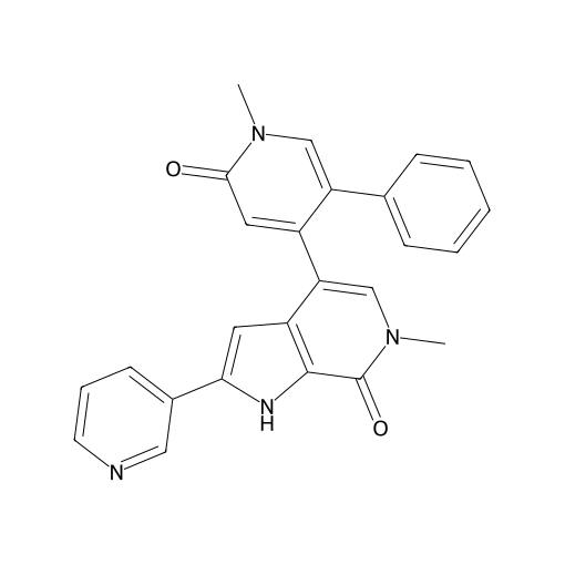 Cn1cc(-c2ccccc2)c(-c2cn(C)c(=O)c3[nH]c(-c4cccnc4)cc23)cc1=O